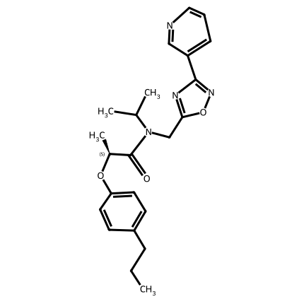 CCCc1ccc(O[C@@H](C)C(=O)N(Cc2nc(-c3cccnc3)no2)C(C)C)cc1